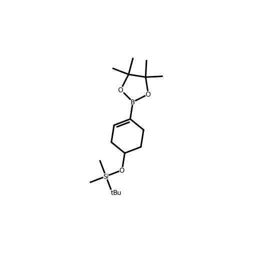 CC1(C)OB(C2=CCC(O[Si](C)(C)C(C)(C)C)CC2)OC1(C)C